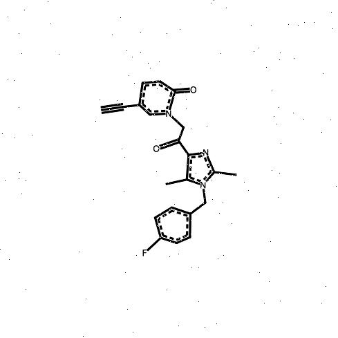 C#Cc1ccc(=O)n(CC(=O)c2nc(C)n(Cc3ccc(F)cc3)c2C)c1